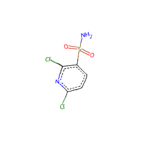 NS(=O)(=O)c1ccc(Cl)nc1Cl